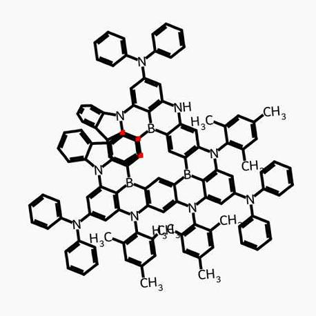 Cc1cc(C)c(N2c3cc4c(cc3B3c5cc6c(cc5N(c5c(C)cc(C)cc5C)c5cc(N(c7ccccc7)c7ccccc7)cc2c53)N(c2c(C)cc(C)cc2C)c2cc(N(c3ccccc3)c3ccccc3)cc3c2B6c2cccc5c6ccccc6n-3c25)B2c3c(cc(N(c5ccccc5)c5ccccc5)cc3-n3c5ccccc5c5cccc2c53)N4)c(C)c1